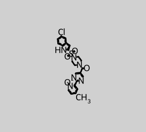 Cc1cc[n+]([O-])c(-c2ncc(C(=O)N3CCN(S(=O)(=O)c4cc5cc(Cl)ccc5[nH]4)CC3)cn2)c1